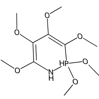 COC1=C(OC)C(OC)=C(OC)[PH](OC)(OC)N1